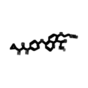 COCCOc1ccc2c(Oc3ccc(NC(=O)NC4CC4)cc3)ccnc2c1C(N)=O